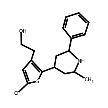 CC1CC(c2sc(Cl)cc2CCO)CC(c2ccccc2)N1